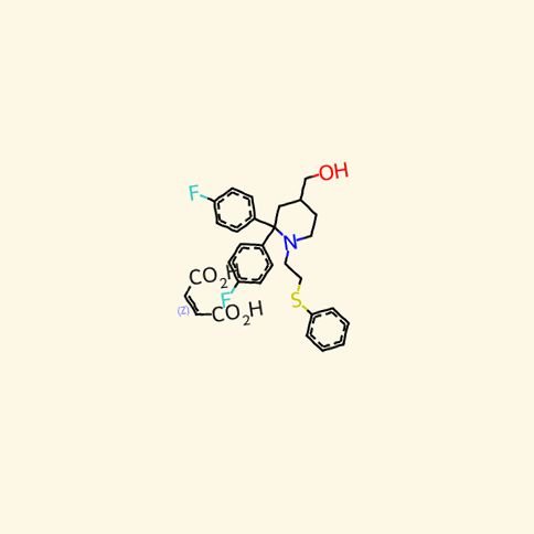 O=C(O)/C=C\C(=O)O.OCC1CCN(CCSc2ccccc2)C(c2ccc(F)cc2)(c2ccc(F)cc2)C1